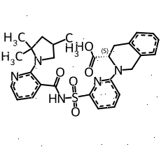 CC1CN(c2ncccc2C(=O)NS(=O)(=O)c2cccc(N3Cc4ccccc4C[C@H]3C(=O)O)n2)C(C)(C)C1